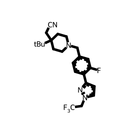 CC(C)(C)C1(CC#N)CCN(Cc2ccc(-c3ccn(CC(F)(F)F)n3)c(F)c2)CC1